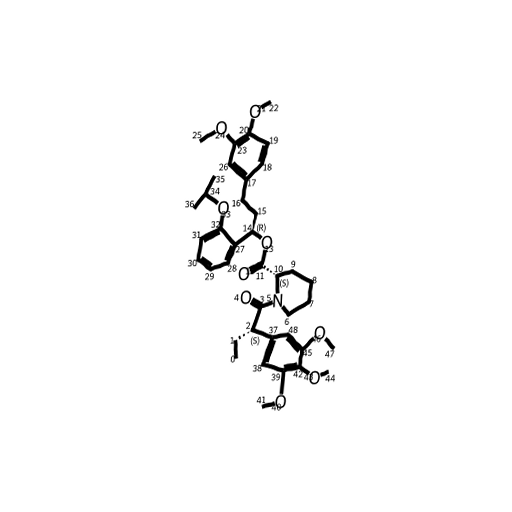 CC[C@H](C(=O)N1CCCC[C@H]1C(=O)O[C@H](CCc1ccc(OC)c(OC)c1)c1ccccc1OC(C)C)c1cc(OC)c(OC)c(OC)c1